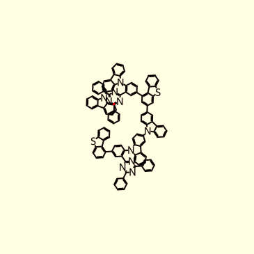 c1ccc(-c2nc(-c3ccccc3)nc(-c3cc(-c4cccc5sc6ccccc6c45)ccc3-n3c4ccccc4c4cc(-n5c6ccccc6c6cc(-c7cc(-c8ccc(-n9c%10ccccc%10c%10ccc(-n%11c%12ccccc%12c%12ccccc%12%11)cc%109)c(-c9nc(-c%10ccccc%10)nc(-c%10ccccc%10)n9)c8)c8c(c7)sc7ccccc78)ccc65)ccc43)n2)cc1